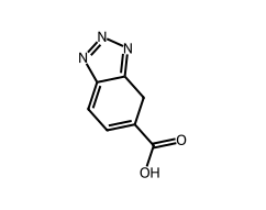 O=C(O)C1=CC=C2N=NN=C2C1